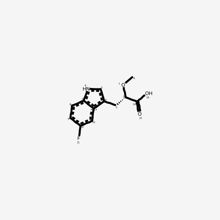 CO[C@@H](Cc1c[nH]c2ccc(F)cc12)C(=O)O